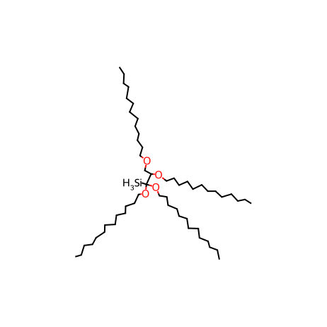 CCCCCCCCCCCCCOCC(OCCCCCCCCCCCCC)C([SiH3])(OCCCCCCCCCCCCC)OCCCCCCCCCCCCC